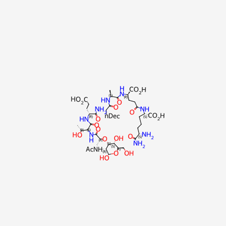 CC(=O)N[C@H]1C(O)O[C@H](CO)[C@@H](O)[C@H]1O[C@H](C)C(=O)N[C@H](C(=O)N[C@H](CCC(=O)O)C(N)=O)[C@@H](C)O.CCCCCCCCCCCC(=O)N[C@@H](C)C(=O)N[C@H](CCC(=O)N[C@@H](CCC[C@H](N)C(N)=O)C(=O)O)C(=O)O